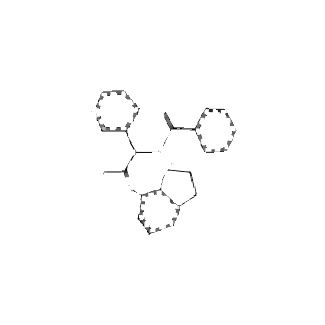 NC(=O)C(c1cccnc1)N(C(=O)c1ccccc1)[C@@H]1CCc2cccc(Cl)c21